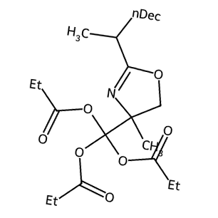 CCCCCCCCCCC(C)C1=NC(C)(C(OC(=O)CC)(OC(=O)CC)OC(=O)CC)CO1